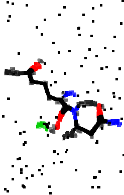 CCCC[C@@H](CC(N)=O)N(CCCC)C(=O)[C@@H](N)CCCC(=O)OC.Cl